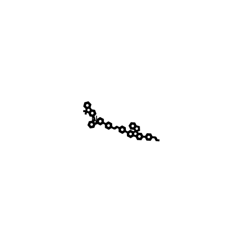 C/C=C/c1ccc(-c2ccc3c(c2)C2(CCc4ccccc42)c2cc(-c4ccc(/C=C/c5ccc(-c6ccc7c(c6)c6ccccc6n7-c6ccc7c(c6)C(C)(C)c6ccccc6-7)cc5)cc4)ccc2-3)cc1